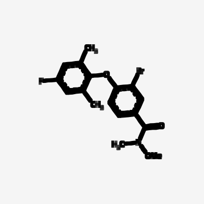 CON(C)C(=O)c1ccc(Oc2c(C)cc(F)cc2C)c(Br)c1